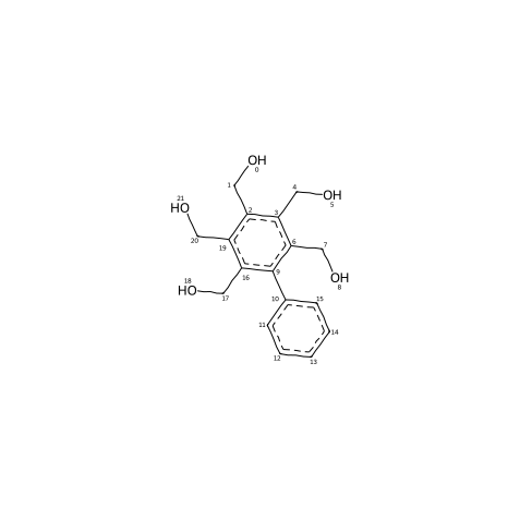 OCc1c(CO)c(CO)c(-c2ccccc2)c(CO)c1CO